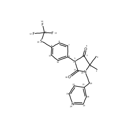 CC1(C)C(=O)N(c2ccc(SC(F)(F)F)cc2)C(=O)N1Cc1ccncc1